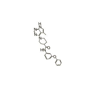 Cc1c[nH]c2ncnc(N3CCC(C(=O)Nc4cccc(Oc5ccccc5)c4)CC3)c12